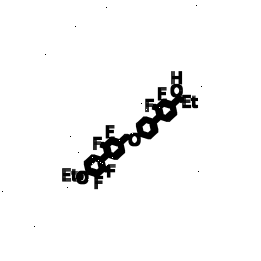 CCOc1ccc(-c2ccc(COC3CC=C(c4ccc(C(O)CC)c(F)c4F)CC3)c(F)c2F)c(F)c1F